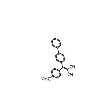 N#CC(C#N)=C(c1ccc(C=O)cc1)c1ccc(-c2ccccc2)cc1